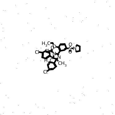 CCOc1ccc(S(=O)(=O)N2CCCC2)cc1C1=NC(C)(c2ccc(Cl)cc2)C(C)(c2ccc(Cl)cc2)N1C(=O)Cl